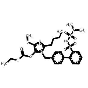 CCCCc1nc(SC)c(OC(=O)OCC)n1Cc1ccc(-c2ccccc2S(=O)(=O)NS(=O)(=O)N(C)C)cc1